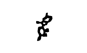 Cc1ccc2c(c1)C(=O)N([C@H]1CCC(=O)NC1=O)C2